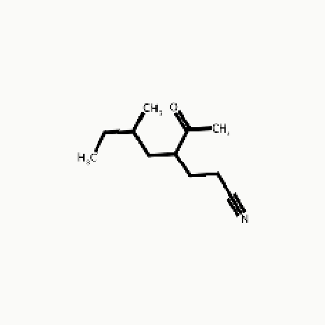 CCC(C)CC(CCC#N)C(C)=O